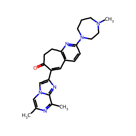 Cc1cn2cc(C3=Cc4ccc(N5CCCN(C)CC5)nc4CCC3=O)nc2c(C)n1